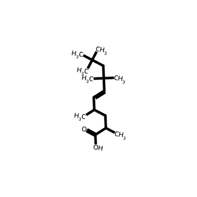 CC(/C=C/C(C)(C)CC(C)(C)C)CC(C)C(=O)O